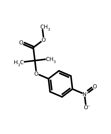 COC(=O)C(C)(C)Oc1ccc([N+](=O)[O-])cc1